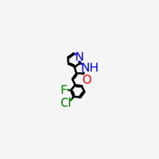 O=C1Nc2ncccc2C1=Cc1cccc(Cl)c1F